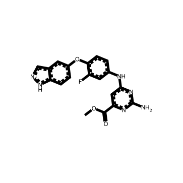 COC(=O)c1cc(Nc2ccc(Oc3ccc4[nH]ncc4c3)c(F)c2)nc(N)n1